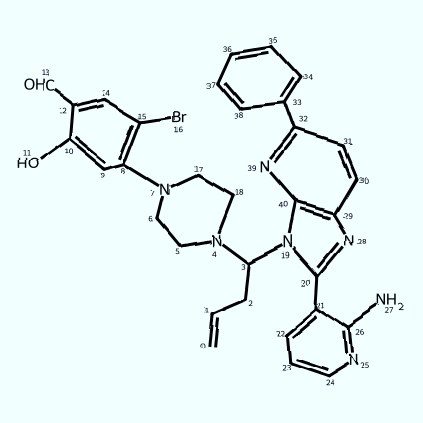 C=CCC(N1CCN(c2cc(O)c(C=O)cc2Br)CC1)n1c(-c2cccnc2N)nc2ccc(-c3ccccc3)nc21